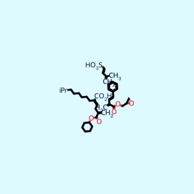 C=C(C)C=CS(=O)(=O)O.C=C(C=Cc1ccccc1)C(=O)OCC1CO1.C=C(CC=C(CCCCCCC(C)C)C(=O)O)C(=O)OC1CCCCC1